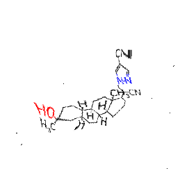 C[C@@]1(O)CC[C@H]2[C@H](CC[C@@H]3[C@@H]2CC[C@]2(C)[C@@H](C(C#N)Cn4cc(C#N)cn4)CC[C@@H]32)C1